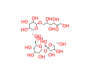 O=C(CO)[C@@H](O)[C@H](O)[C@H](O)CO[C@H]1O[C@H](CO)[C@@H](O)[C@H](O)[C@H]1O.OC[C@H]1O[C@@](CO)(O[C@H]2O[C@H](CO)[C@@H](O)[C@H](O)[C@H]2O)[C@@H](O)[C@@H]1O